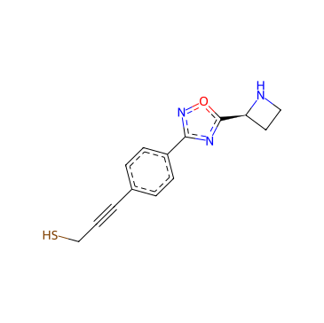 SCC#Cc1ccc(-c2noc([C@@H]3CCN3)n2)cc1